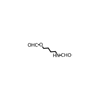 O=[C]NCCCCOC=O